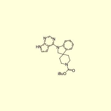 CC(C)COC(=O)N1CCC2(CC1)CN(c1ncnc3[nH]ccc13)c1ccccc12